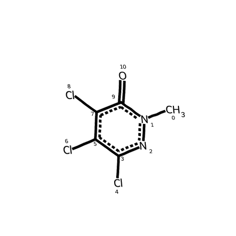 Cn1nc(Cl)c(Cl)c(Cl)c1=O